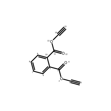 C#COC(=O)c1ccccc1C(=O)OC#C